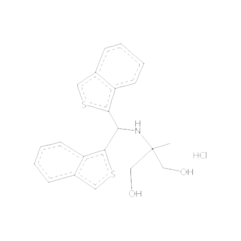 CC(CO)(CO)NC(c1scc2ccccc12)c1scc2ccccc12.Cl